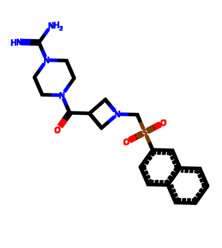 N=C(N)N1CCN(C(=O)C2CN(CS(=O)(=O)c3ccc4ccccc4c3)C2)CC1